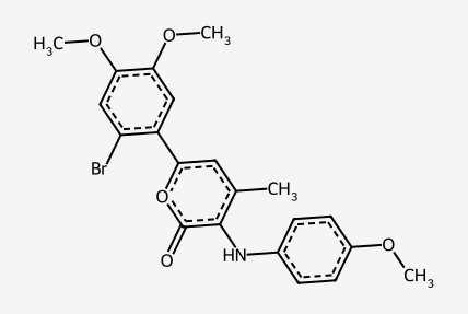 COc1ccc(Nc2c(C)cc(-c3cc(OC)c(OC)cc3Br)oc2=O)cc1